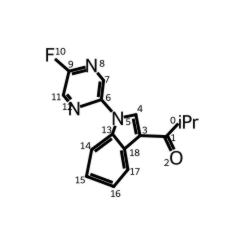 CC(C)C(=O)c1cn(-c2cnc(F)cn2)c2ccccc12